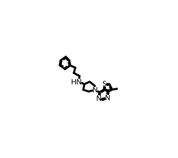 Cc1csc2c(N3CCC(NCCCc4ccccc4)CC3)ncnc12